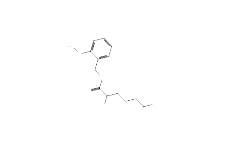 CCCCOc1ccccc1COC(=O)C(C)CCCCC(=O)O.Cl